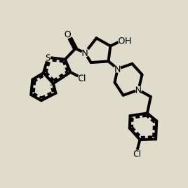 O=C(c1sc2ccccc2c1Cl)N1CC(O)C(N2CCN(Cc3ccc(Cl)cc3)CC2)C1